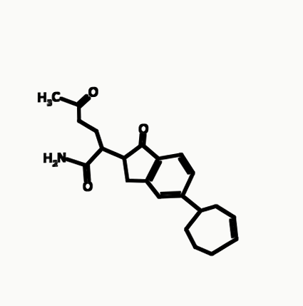 CC(=O)CCC(C(N)=O)C1Cc2cc(C3CC=CCCC3)ccc2C1=O